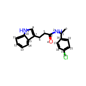 CC(NC(=O)CCc1c[nH]c2ccccc12)c1ccc(Cl)cc1